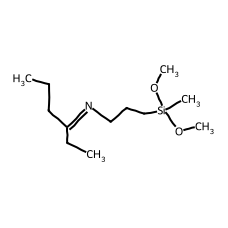 CCCC(CC)=NCCC[Si](C)(OC)OC